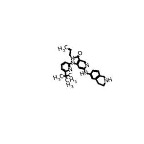 C=CCn1c(=O)c2cnc(Nc3ccc4c(c3)CCNC4)cc2n1-c1cccc(C(C)(C)C)n1